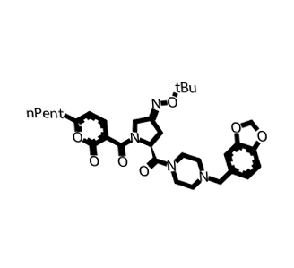 CCCCCc1ccc(C(=O)N2CC(=NOC(C)(C)C)C[C@H]2C(=O)N2CCN(Cc3ccc4c(c3)OCO4)CC2)c(=O)o1